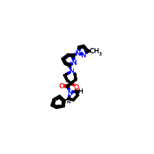 Cc1ccn(-c2cccc(N3CCC4(CC3)O[C@@H]3CC[C@@H](c5ccccc5)N3C4=O)n2)n1